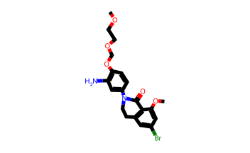 COCCOCOc1ccc(N2CCc3cc(Br)cc(OC)c3C2=O)cc1N